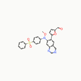 CON(c1ccc(S(=O)(=O)c2ccccc2)cc1)c1cc2ncncc2cc1-c1ccc(C=O)o1